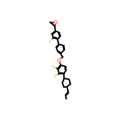 C/C=C/C1CCC(c2ccc(OCc3ccc(-c4ccc(C5CO5)cc4F)cc3)c(F)c2F)CC1